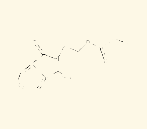 CCC(=O)OCCN1C(=O)c2ccccc2C1=O